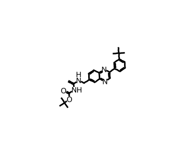 C=C(NCc1ccc2nc(-c3cccc(C(C)(C)C)c3)cnc2c1)NC(=O)OC(C)(C)C